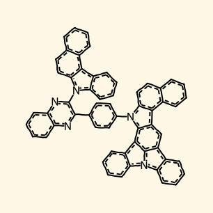 c1ccc2c(c1)ccc1c2c2ccccc2n1-c1nc2ccccc2nc1-c1ccc(-n2c3ccc4ccccc4c3c3cc4c5ccccc5n5c6ccccc6c(c32)c45)cc1